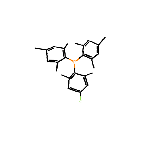 Cc1cc(C)c(P(c2c(C)cc(C)cc2C)c2c(C)cc(F)cc2C)c(C)c1